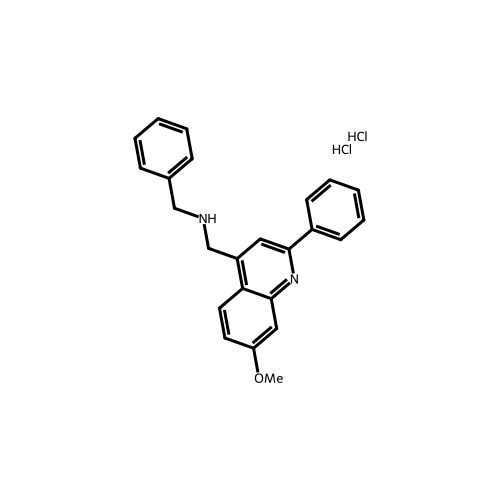 COc1ccc2c(CNCc3ccccc3)cc(-c3ccccc3)nc2c1.Cl.Cl